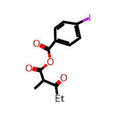 CCC(=O)C(C)C(=O)OC(=O)c1ccc(I)cc1